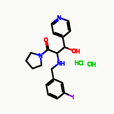 Cl.Cl.O=C(C(NCc1cccc(I)c1)C(O)c1ccncc1)N1CCCC1